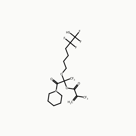 C=C(C(=O)OC(OCCCCC(F)(F)C(F)(F)S)(C(=O)N1CCCCC1)C(F)(F)F)C(F)(F)F